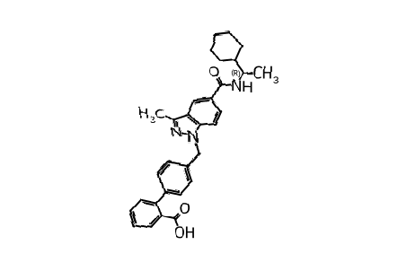 Cc1nn(Cc2ccc(-c3ccccc3C(=O)O)cc2)c2ccc(C(=O)N[C@H](C)C3CCCCC3)cc12